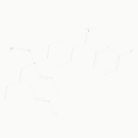 CCCCC([C]1CCC(C(c2cccc(F)c2)N(C)C)CC1)(C(=O)O)c1ccc(Cl)cc1